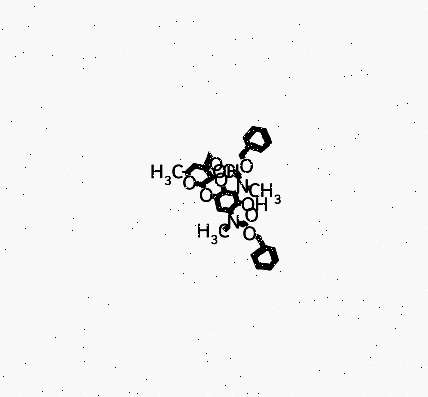 C[C@@H]1CC2(CO2)C2(O)OC3C(CC(N(C)C(=O)OCc4ccccc4)C(O)C3N(C)C(=O)OCc3ccccc3)OC2O1